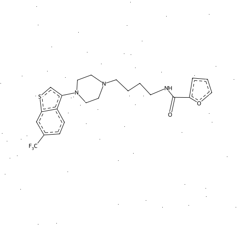 O=C(NCCCCN1CCN(c2csc3cc(C(F)(F)F)ccc23)CC1)c1ccco1